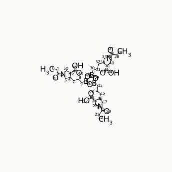 CCC(=O)N1CC(CCCB2OB(CCCC3CN(C(=O)CC)CC3C(=O)O)OB(CCCC3CN(C(=O)CC)C[C@H]3C(=O)O)O2)C(C(=O)O)C1